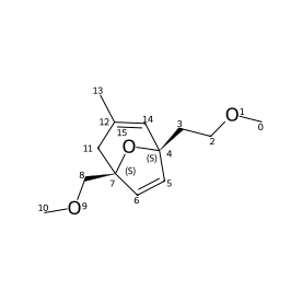 COCC[C@]12C=C[C@](COC)(CC(C)=C1)O2